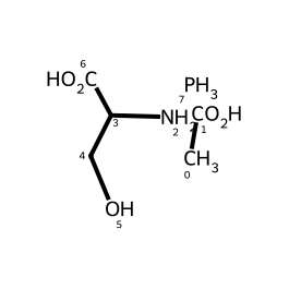 CC(=O)O.NC(CO)C(=O)O.P